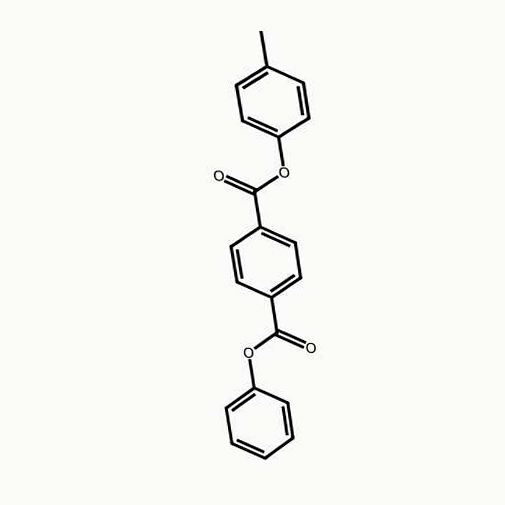 Cc1ccc(OC(=O)c2ccc(C(=O)Oc3ccccc3)cc2)cc1